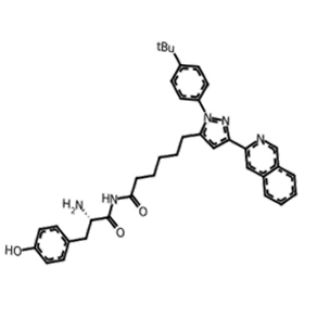 CC(C)(C)c1ccc(-n2nc(-c3cc4ccccc4cn3)cc2CCCCCC(=O)NC(=O)[C@@H](N)Cc2ccc(O)cc2)cc1